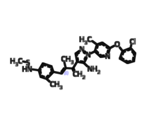 C=C(/C(C)=C/c1ccc(NSC)cc1C)c1cnn(-c2cnc(Oc3ccccc3Cl)cc2C)c1N